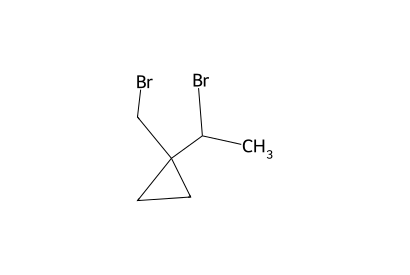 CC(Br)C1(CBr)CC1